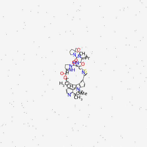 CCn1c(-c2cccnc2[C@H](C)OC)c2c3cc(ccc31)-c1csc(n1)C[C@H](NC(=O)[C@H](C(C)C)N(C)C(=O)N1CCCC13COC3)C(=O)N1CCC[C@H](N1)C(=O)OCC(C)(C)C2